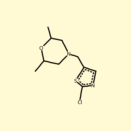 CC1CN(Cc2cnc(Cl)s2)CC(C)O1